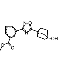 COC(=O)c1cccc(-c2noc(C34CCC(O)(CC3)CC4)n2)c1